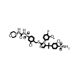 COc1cc(-n2c(C(C)(C)c3ccc(S(N)(=O)=O)c(Cl)c3)cnc2SCc2ccc(S(=O)(=O)NC(=O)NN3CCOCC3)cc2Cl)ccc1F